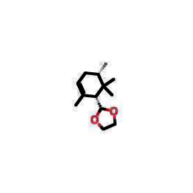 CC1=CC[C@H](C)C(C)(C)[C@@H]1C1OCCO1